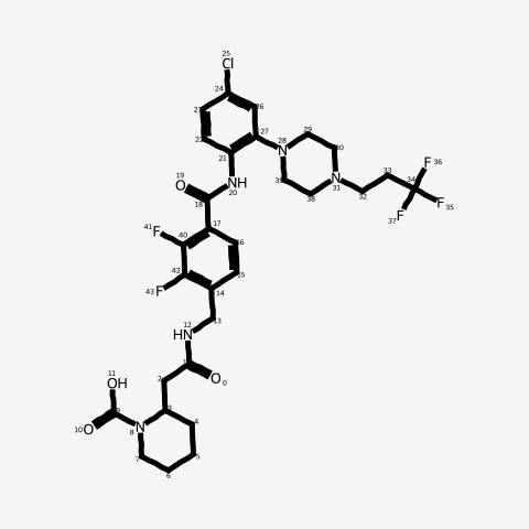 O=C(CC1CCCCN1C(=O)O)NCc1ccc(C(=O)Nc2ccc(Cl)cc2N2CCN(CCC(F)(F)F)CC2)c(F)c1F